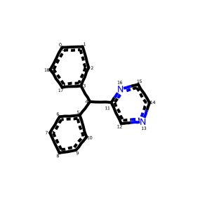 c1ccc(C(c2ccccc2)c2cnccn2)cc1